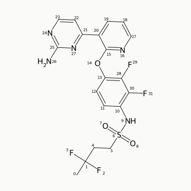 CC(F)(F)CCS(=O)(=O)Nc1ccc(Oc2ncccc2-c2ccnc(N)n2)c(F)c1F